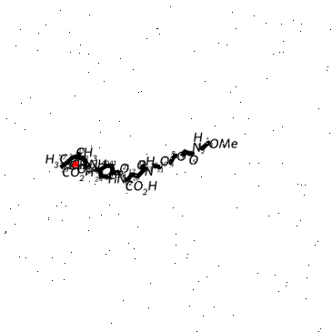 COCCNC(=O)COCCOCCNC(=O)CCC(NC(=O)C1CCC(CNC(=O)CC(C)(C)CC(C)(C)CC(=O)O)CC1)C(=O)O